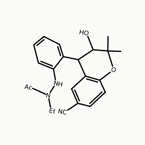 CCN(Nc1ccccc1C1c2cc(C#N)ccc2OC(C)(C)C1O)C(C)=O